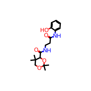 CC1(C)OCC(C)(C)C(C(=O)NCCC(=O)Nc2ccccc2O)O1